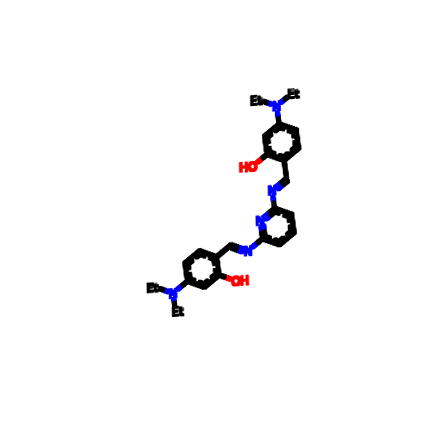 CCN(CC)c1ccc(C=Nc2cccc(N=Cc3ccc(N(CC)CC)cc3O)n2)c(O)c1